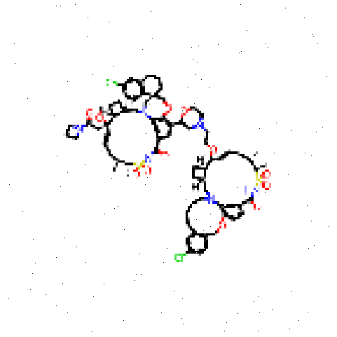 CO[C@@]1(CC(=O)N2CCC2)/C=C/C[C@H](C)[C@@H](C)S(=O)(=O)NC(=O)c2cc(C3CN(CCO[C@@]4(C)/C=C/C[C@H](C)[C@@H](C)S(=O)(=O)NC(=O)c5ccc6c(c5)N(CCCCc5cc(Cl)ccc5CO6)C[C@@H]5CC[C@H]54)CCO3)c3c(c2)N(C[C@@H]2CC[C@H]21)C[C@@]1(CCCc2cc(Cl)ccc21)CO3